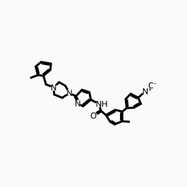 [C-]#[N+]c1ccc(-c2cc(C(=O)Nc3ccc(N4CCN(Cc5ccccc5C)CC4)nc3)ccc2C)cc1